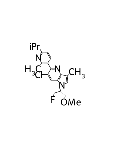 COC[C@H](CF)n1cc(C)c2nc(-c3ccc(C(C)C)nc3C)c(Cl)cc21